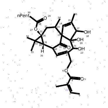 C/C=C(/C)C(=O)OCC1=CC2C(=O)C3(C=C(C)C(O)C3(O)C1O)C(C)C[C@]1(OC(=O)CCCCC)[C@H]2C1(C)C